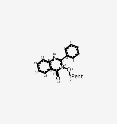 CCCCCOn1c(-c2ccccc2)nc2ccccc2c1=O